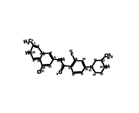 CC1=CN2C=C(NC(=O)c3ccc(N4CCNC(C)C4)cc3F)C=C(Cl)C2=CN1